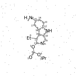 CCc1c(OC(=O)OC(C)C)ncc2[nH]c3ccc(N)cc3c12